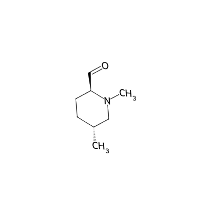 C[C@@H]1CC[C@@H](C=O)N(C)C1